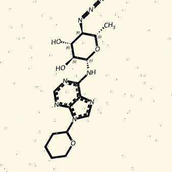 C[C@@H]1O[C@H](Nc2ncnc3c2ncn3C2CCCCO2)[C@@H](O)[C@H](O)[C@H]1N=[N+]=[N-]